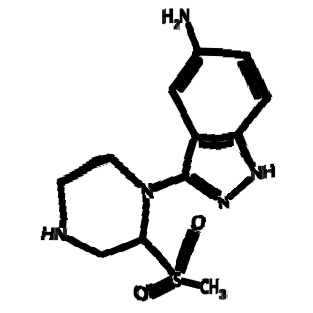 CS(=O)(=O)C1CNCCN1c1n[nH]c2ccc(N)cc12